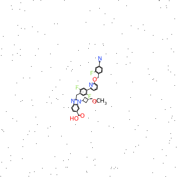 COC[C@H]1C[C@@H](n2c(Cc3cc(F)c(-c4cccc(OCc5ccc(C#N)cc5F)n4)cc3F)nc3ccc(C(=O)O)cc32)C1